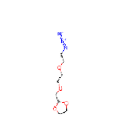 [N-]=[N+]=NCCOCCOCC1OCCO1